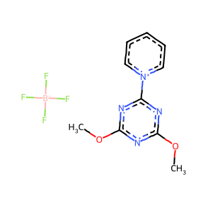 COc1nc(OC)nc(-[n+]2ccccc2)n1.F[B-](F)(F)F